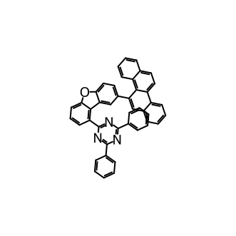 c1ccc(-c2nc(-c3ccccc3)nc(-c3cccc4oc5ccc(-c6cc7ccccc7c7ccc8ccccc8c67)cc5c34)n2)cc1